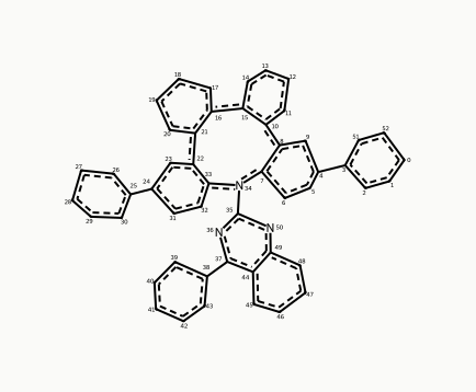 c1ccc(-c2ccc3c(c2)c2ccccc2c2ccccc2c2cc(-c4ccccc4)ccc2n3-c2nc(-c3ccccc3)c3ccccc3n2)cc1